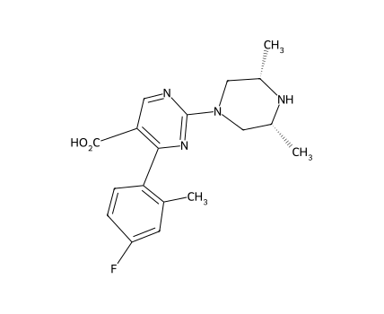 Cc1cc(F)ccc1-c1nc(N2C[C@@H](C)N[C@@H](C)C2)ncc1C(=O)O